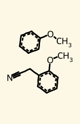 COc1ccccc1.COc1ccccc1CC#N